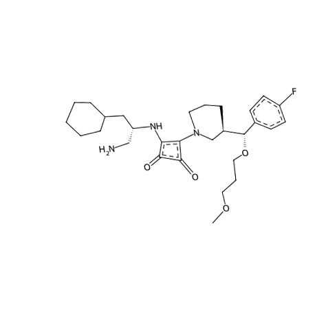 COCCCO[C@@H](c1ccc(F)cc1)[C@@H]1CCCN(c2c(N[C@H](CN)CC3CCCCC3)c(=O)c2=O)C1